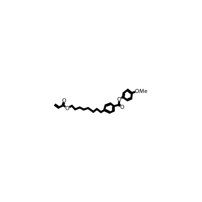 C=CC(=O)OCCCCCCCCc1ccc(C(=O)Oc2ccc(OC)cc2)cc1